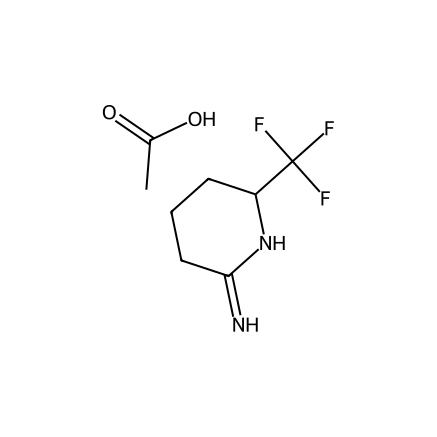 CC(=O)O.N=C1CCCC(C(F)(F)F)N1